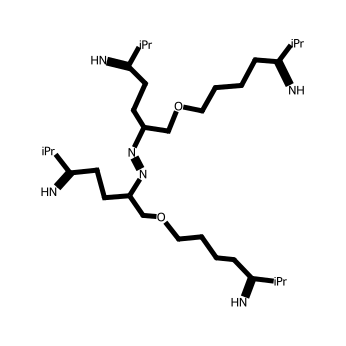 CC(C)C(=N)CCCCOCC(CCC(=N)C(C)C)N=NC(CCC(=N)C(C)C)COCCCCC(=N)C(C)C